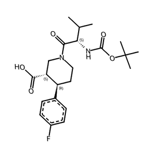 CC(C)[C@H](NC(=O)OC(C)(C)C)C(=O)N1CC[C@@H](c2ccc(F)cc2)[C@H](C(=O)O)C1